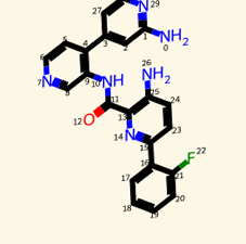 Nc1cc(-c2ccncc2NC(=O)c2nc(-c3ccccc3F)ccc2N)ccn1